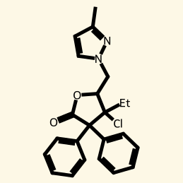 CCC1(Cl)C(Cn2ccc(C)n2)OC(=O)C1(c1ccccc1)c1ccccc1